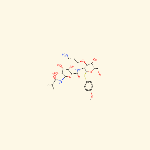 COc1ccc(S[C@@H]2OC(CO)[C@H](O)[C@H](OCCCN)C2NC(=O)C2O[C@@H](NC(=O)C(C)C)C(O)[C@@H](O)[C@@H]2O)cc1